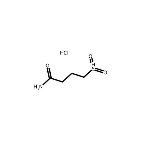 Cl.NC(=O)CCC[SH](=O)=O